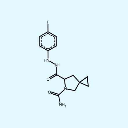 NC(=O)N1CC2(CC2)CC1C(=O)NNc1ccc(F)cc1